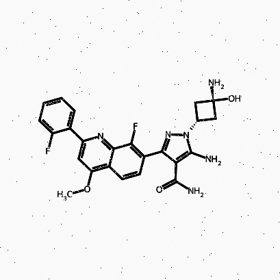 COc1cc(-c2ccccc2F)nc2c(F)c(-c3nn([C@H]4C[C@@](N)(O)C4)c(N)c3C(N)=O)ccc12